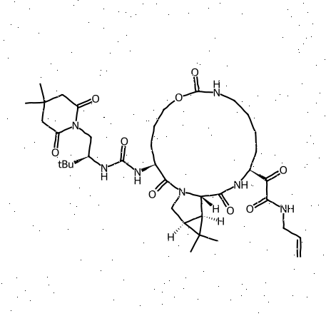 C=CCNC(=O)C(=O)[C@@H]1CCCCNC(=O)OCCC[C@H](NC(=O)N[C@H](CN2C(=O)CC(C)(C)CC2=O)C(C)(C)C)C(=O)N2C[C@H]3[C@@H]([C@H]2C(=O)N1)C3(C)C